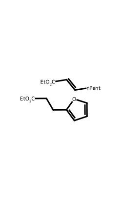 CCCCCC=CC(=O)OCC.CCOC(=O)CCc1ccco1